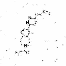 BCOc1ccc(-c2ccc3c(c2)CCN(C(=O)C(F)(F)F)CC3)nn1